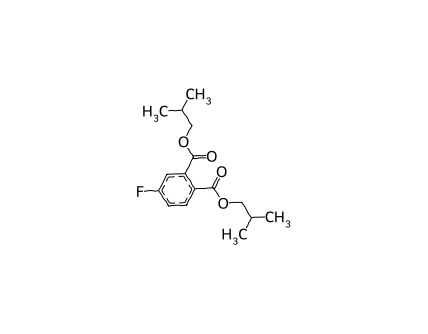 CC(C)COC(=O)c1ccc(F)cc1C(=O)OCC(C)C